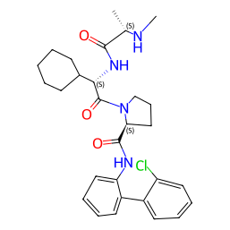 CN[C@@H](C)C(=O)N[C@H](C(=O)N1CCC[C@H]1C(=O)Nc1ccccc1-c1ccccc1Cl)C1CCCCC1